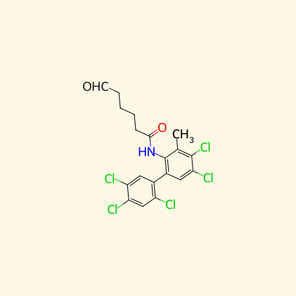 Cc1c(Cl)c(Cl)cc(-c2cc(Cl)c(Cl)cc2Cl)c1NC(=O)CCCCC=O